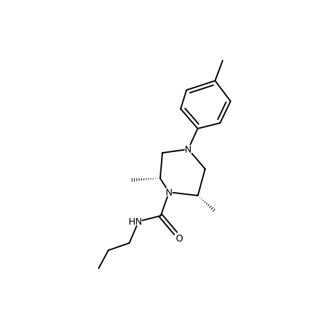 CCCNC(=O)N1[C@H](C)CN(c2ccc(C)cc2)C[C@@H]1C